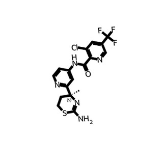 C[C@@]1(c2cc(NC(=O)c3ncc(C(F)(F)F)cc3Cl)ccn2)CCSC(N)=N1